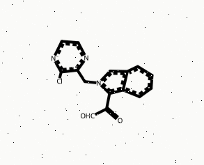 O=CC(=O)c1c2ccccc2cn1Cc1nccnc1Cl